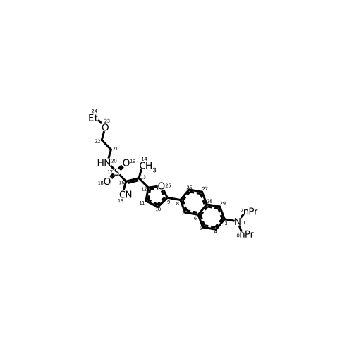 CCCN(CCC)c1ccc2cc(-c3ccc(/C(C)=C(\C#N)S(=O)(=O)NCCOCC)o3)ccc2c1